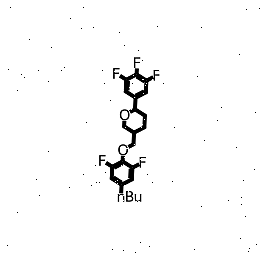 CCCCc1cc(F)c(OCC2CCC(c3cc(F)c(F)c(F)c3)OC2)c(F)c1